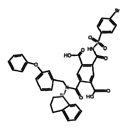 O=C(O)c1cc(C(=O)N(Cc2cccc(Oc3ccccc3)c2)[C@H]2CCCc3ccccc32)c(C(=O)O)cc1C(=O)NS(=O)(=O)c1ccc(Br)cc1